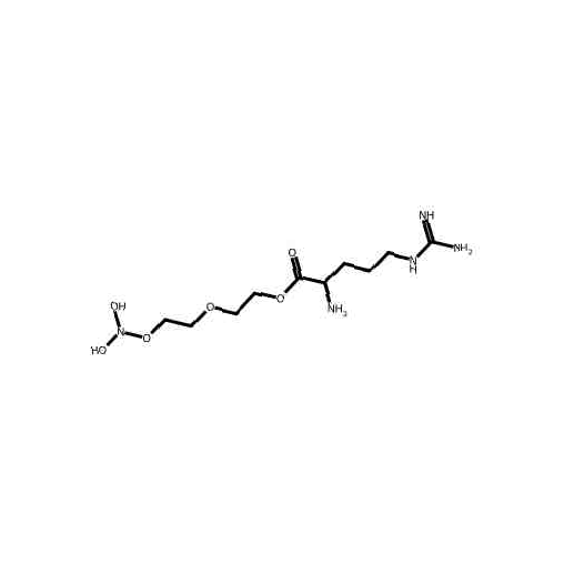 N=C(N)NCCCC(N)C(=O)OCCOCCON(O)O